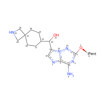 CCC[C@H](C)Oc1nc(N)c2ncc(C(O)C3CCC4(CC3)CNC4)n2n1